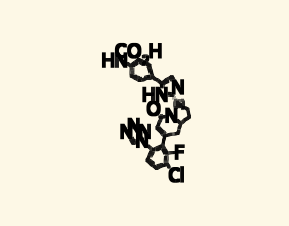 O=C(O)Nc1ccc(-c2cnc([C@@H]3CCC4CC(c5c(-n6cnnn6)ccc(Cl)c5F)=CC(=O)N43)[nH]2)cc1